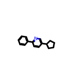 c1ccc(-c2ccc(C3CCCC3)cn2)cc1